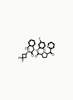 O=C(c1ccccn1)C1CCC(C(=O)N(c2cccc(F)c2)[C@H](C(=O)NC2CC(F)(F)C2)c2ccccc2Cl)N1